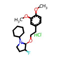 COc1ccc(CCO[C@H]2C(F)CCN2C2CCCCC2)cc1OC.Cl